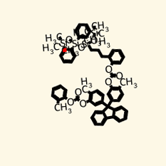 Cc1ccccc1OC(=O)Oc1cc(C2(c3ccc(C)c(OC(=O)Oc4ccccc4CCC[Si](C)(O[Si](C)(C)C)O[Si](O[Si](C)(C)C)(c4ccccc4)c4ccccc4)c3)c3ccccc3-c3ccccc32)ccc1C